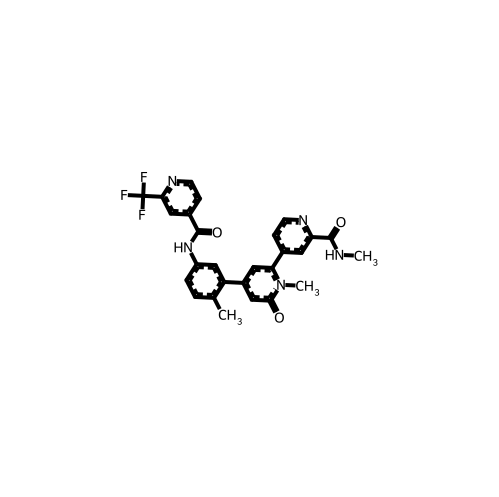 CNC(=O)c1cc(-c2cc(-c3cc(NC(=O)c4ccnc(C(F)(F)F)c4)ccc3C)cc(=O)n2C)ccn1